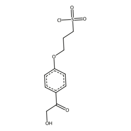 O=C(CO)c1ccc(OCCCS(=O)(=O)Cl)cc1